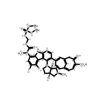 CN1C[C@@H]2CCN(c3c(C4=CC5=C/C(=C\C=C(\C(=O)O)C(=O)C5)C=C4)cnc4[nH]c5c(N(C)C(=O)OCOP(=O)(OC(C)(C)C)OC(C)(C)C)cc(F)c(F)c5c34)[C@@H]2C1